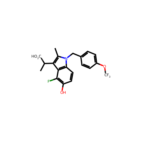 Cc1c(C(C)C(=O)O)c2c(F)c(O)ccc2n1Cc1ccc(OC(F)(F)F)cc1